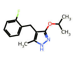 Cc1[nH]nc(OC(C)C)c1Cc1ccccc1F